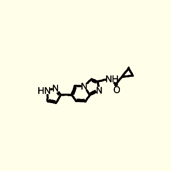 O=C(Nc1cn2cc(-c3cc[nH]n3)ccc2n1)C1CC1